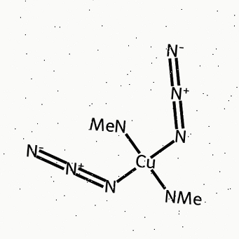 C[NH][Cu]([N]=[N+]=[N-])([N]=[N+]=[N-])[NH]C